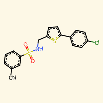 N#Cc1cccc(S(=O)(=O)NCc2ccc(-c3ccc(Cl)cc3)s2)c1